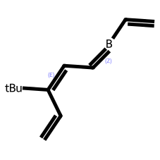 C=C/B=C\C=C(/C=C)C(C)(C)C